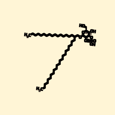 CCCCCCCCCCCCCCCCCCCCCCC(CCCCCCCCCCCCCCCC)CO[C@H]1O[C@H](CO)[C@H](O)[C@@H](OS(=O)(=O)O)[C@H]1O